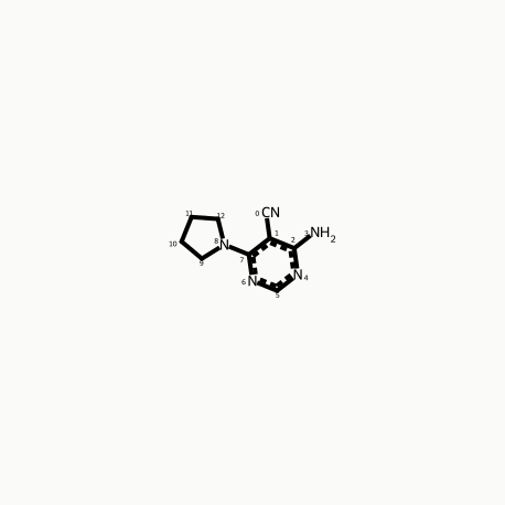 N#Cc1c(N)ncnc1N1CCCC1